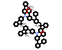 CC1(C)c2ccccc2-c2ccc(N(c3ccc4c(c3)C(C)(C)c3ccccc3-4)c3ccc(-c4ccc(CC5(C)c6ccccc6-c6ccc(N(c7ccc(-c8cccc9c8C(C)(C)c8ccccc8-9)cc7)c7ccc(-c8ccccc8-c8ccccc8)cc7-c7ccccc7)cc65)cc4-c4ccccc4)cc3-c3ccccc3)cc21